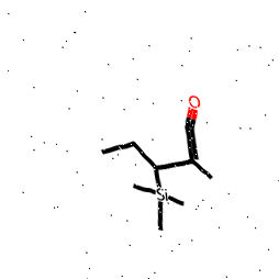 CCC(C(C)=C=O)[Si](C)(C)C